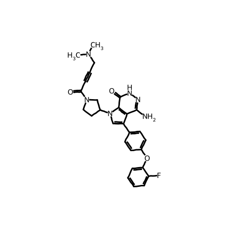 CN(C)CC#CC(=O)N1CCC(n2cc(-c3ccc(Oc4ccccc4F)cc3)c3c(N)n[nH]c(=O)c32)C1